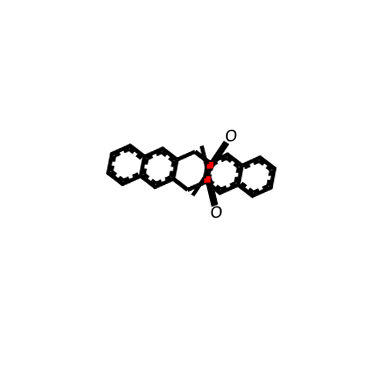 O=C1C=CC(=O)C2C3c4cc5ccccc5cc4C(c4cc5ccccc5cc43)C12